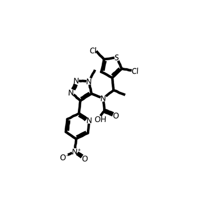 CC(c1cc(Cl)sc1Cl)N(C(=O)O)c1c(-c2ccc([N+](=O)[O-])cn2)nnn1C